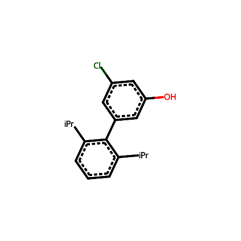 CC(C)c1cccc(C(C)C)c1-c1cc(O)cc(Cl)c1